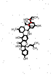 C=C(/C(O)=C\C(O)=C/C)[C@H]1CC(C)=C[C@H](c2c(O)cc3c(c2O)C(=O)[C@@]2(O)Oc4cc(O)ccc4[C@@]2(CC=C(C)C)O3)[C@@H]1C(=O)c1cc(O)cc(O)c1